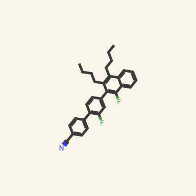 CCCCc1c(-c2ccc(-c3ccc(C#N)cc3)c(F)c2)c(F)c2ccccc2c1CCCC